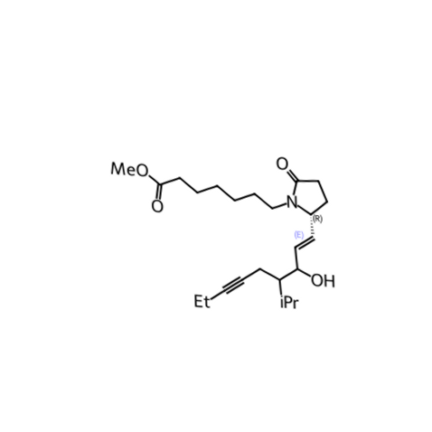 CCC#CCC(C(C)C)C(O)/C=C/[C@H]1CCC(=O)N1CCCCCCC(=O)OC